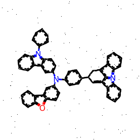 C1=c2c3ccccc3n3c2c(c2ccccc23)CC1c1ccc(N(c2ccc3oc4ccccc4c3c2)c2ccc3c(c2)c2ccccc2n3-c2ccccc2)cc1